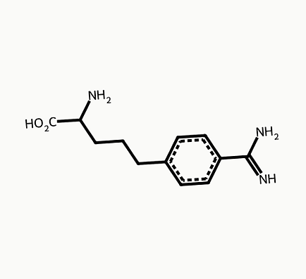 N=C(N)c1ccc(CCCC(N)C(=O)O)cc1